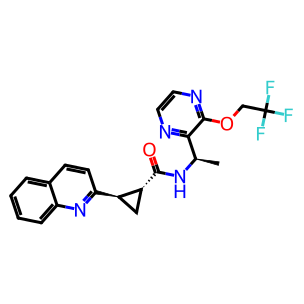 C[C@@H](NC(=O)[C@@H]1C[C@H]1c1ccc2ccccc2n1)c1nccnc1OCC(F)(F)F